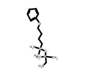 C[Si](C)(CN)O[Si](C)(N)CCCCOc1ccccc1